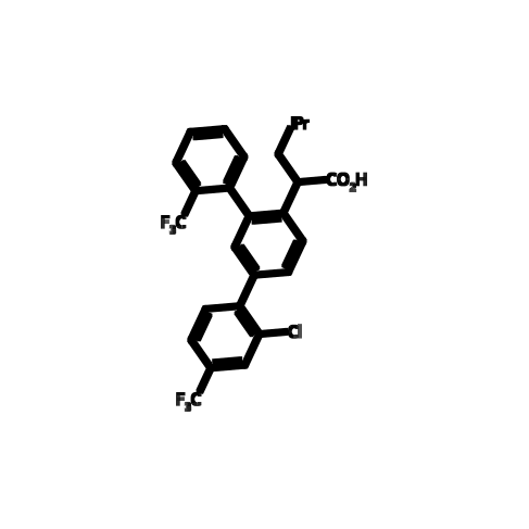 CC(C)CC(C(=O)O)c1ccc(-c2ccc(C(F)(F)F)cc2Cl)cc1-c1ccccc1C(F)(F)F